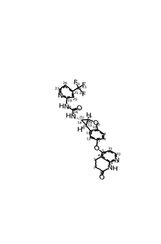 O=C1CCc2c(Oc3ccc4c(c3)[C@H]3[C@H](NC(=O)Nc5cc(C(F)(F)F)ccn5)[C@H]3O4)ccnc2N1